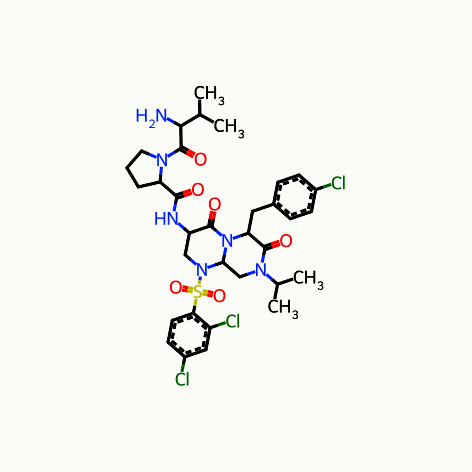 CC(C)C(N)C(=O)N1CCCC1C(=O)NC1CN(S(=O)(=O)c2ccc(Cl)cc2Cl)C2CN(C(C)C)C(=O)C(Cc3ccc(Cl)cc3)N2C1=O